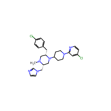 CN1C[C@H](Cc2ccc(Cl)cc2)N(C2CCN(c3cc(Cl)ccn3)CC2)C[C@@H]1Cn1ccnc1